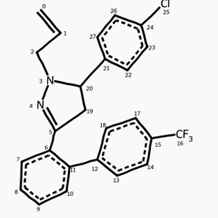 C=CCN1N=C(c2ccccc2-c2ccc(C(F)(F)F)cc2)CC1c1ccc(Cl)cc1